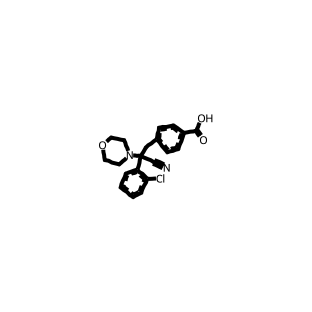 N#CC(Cc1ccc(C(=O)O)cc1)(c1ccccc1Cl)N1CCOCC1